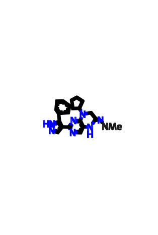 CN/N=C1/CN(C2CCCC2)c2nc(-c3cn[nH]c3-c3ccccc3)ncc2N1